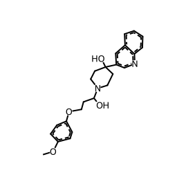 COc1ccc(OCCC(O)N2CCC(O)(c3cnc4ccccc4c3)CC2)cc1